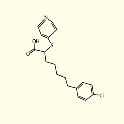 O=C(O)C(CCCCCc1ccc(Cl)cc1)Sc1ccncc1